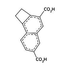 O=C(O)c1ccc2c3c(c(C(=O)O)cc2c1)CC3